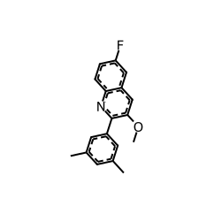 COc1cc2cc(F)ccc2nc1-c1cc(C)cc(C)c1